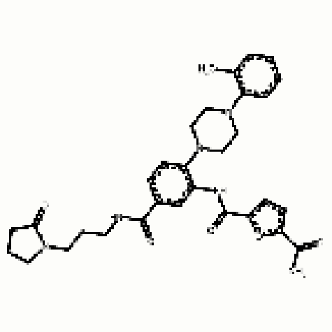 Cc1ccccc1N1CCN(c2ccc(C(=O)NCCCN3CCCC3=O)cc2NC(=O)c2ccc(C(N)=O)o2)CC1